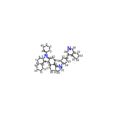 c1ccc(-n2c3ccc4ccccc4c3c3c4ccc5ccn(-c6ccc(-c7cncc8ccccc78)cc6)c5c4ccc32)cc1